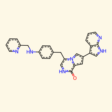 O=c1[nH]cc(Cc2ccc(NCc3ccccn3)cc2)n2cc(-c3c[nH]c4ncccc34)cc12